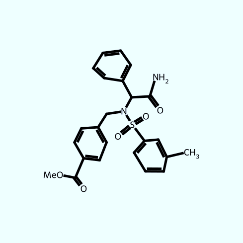 COC(=O)c1ccc(CN(C(C(N)=O)c2ccccc2)S(=O)(=O)c2cccc(C)c2)cc1